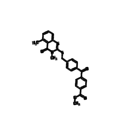 COC(=O)c1ccc(C(=O)c2ccc(CSc3nc4cccc(C)c4c(=O)n3C)cc2)cc1